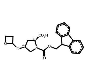 O=C(O)[C@@H]1C[C@H](OC2CCO2)CN1C(=O)OCC1c2ccccc2-c2ccccc21